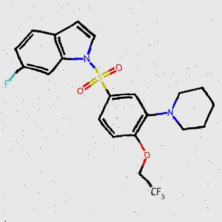 O=S(=O)(c1ccc(OCC(F)(F)F)c(N2CCCCC2)c1)n1ccc2ccc(F)cc21